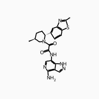 Cc1nc2cc([C@H]3CC[C@H](C)CN3C(=O)C(=O)Nc3cnc(N)c4cn[nH]c34)ccc2s1